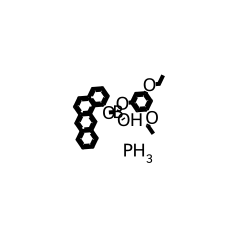 CCOc1cc(OCC)cc(OB(O)Oc2cccc3ccc4cc5ccccc5cc4c23)c1.P